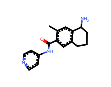 Cc1cc2c(cc1C(=O)Nc1ccncc1)CCCC2N